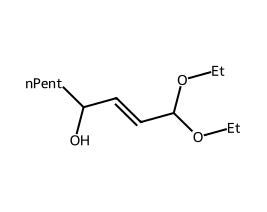 CCCCCC(O)/C=C/C(OCC)OCC